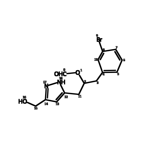 O=COC(Cc1cccc(Br)c1)Cc1cc(CO)n[nH]1